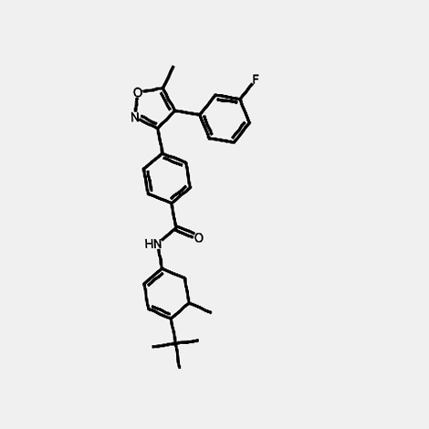 Cc1onc(-c2ccc(C(=O)NC3=CC=C(C(C)(C)C)C(C)C3)cc2)c1-c1cccc(F)c1